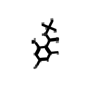 Cc1cc(F)cc(Br)c1C(=O)OC(C)(C)C